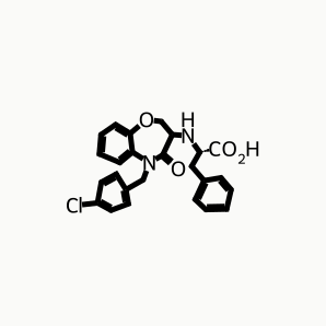 O=C(O)[C@H](Cc1ccccc1)NC1COc2ccccc2N(Cc2ccc(Cl)cc2)C1=O